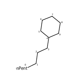 [CH2]CCC[CH]CCCC1CCCCC1